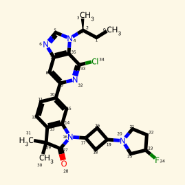 CC[C@H](C)n1cnc2cc(-c3ccc4c(c3)N(C3CC(N5CCC(F)C5)C3)C(=O)C4(C)C)nc(Cl)c21